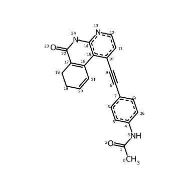 CC(=O)Nc1ccc(C#Cc2ccnc3c2C2=C(CCC=C2)C(=O)[N]3)cc1